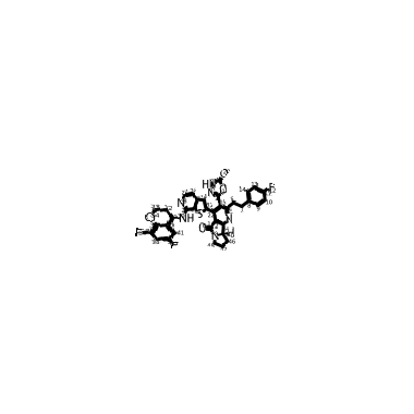 O=C1c2c(nc(CCc3ccc(F)cc3)c(-c3n[nH]c(=O)o3)c2-c2cc3ccnc(N[C@@H]4CCOc5c(F)cc(F)cc54)c3s2)[C@@H]2CCCN12